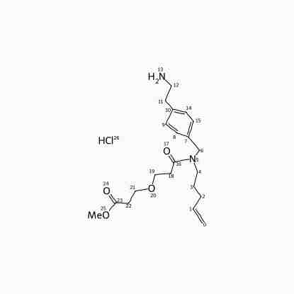 C=CCCCN(Cc1ccc(CCN)cc1)C(=O)CCOCCC(=O)OC.Cl